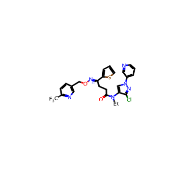 CCN(C(=O)CC/C(=N\OCc1ccc(C(F)(F)F)nc1)c1cccs1)c1cn(-c2cccnc2)nc1Cl